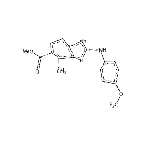 COC(=O)c1ccc2[nH]c(Nc3ccc(OC(F)(F)F)cc3)nc2c1C